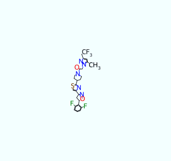 Cc1cc(CC(F)(F)F)nn1CC(=O)N1CCC(c2nc(C3=NOC(c4c(F)cccc4F)C3)cs2)CC1